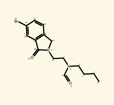 CCCCN(C=O)CCN1Cc2ccc(Br)cc2C1=O